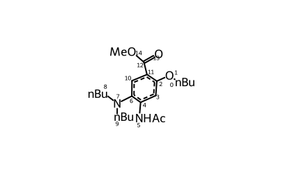 CCCCOc1cc(NC(C)=O)c(N(CCCC)CCCC)cc1C(=O)OC